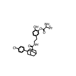 CC(C)C(N)C(=O)Oc1cc(CCNC(=O)C23CC4CC(C2)CC(c2ccc(Cl)cc2)(C4)C3)ccc1O